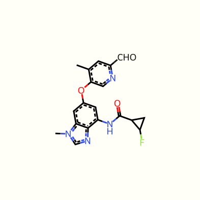 Cc1cc(C=O)ncc1Oc1cc(NC(=O)C2CC2F)c2ncn(C)c2c1